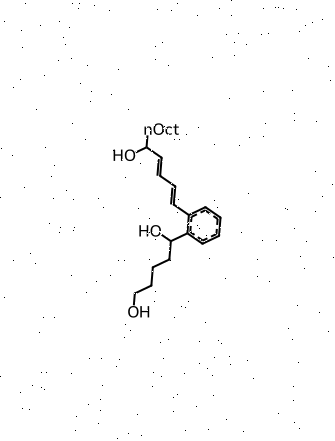 CCCCCCCCC(O)/C=C/C=C/c1ccccc1C(O)CCCCO